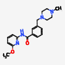 COc1cccc(NC(=O)c2cccc(CN3CCN(C)CC3)c2)n1